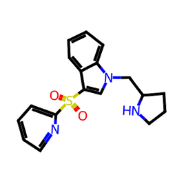 O=S(=O)(c1ccccn1)c1cn(CC2CCCN2)c2ccccc12